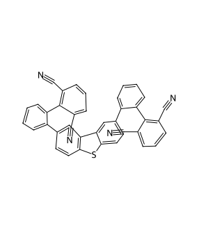 N#Cc1cccc(C#N)c1-c1ccccc1-c1ccc2sc3ccc(-c4ccccc4-c4c(C#N)cccc4C#N)cc3c2c1